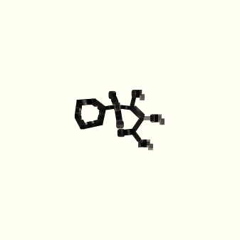 CC(C(N)=O)=C(C(F)(F)F)S(=O)(=O)c1ccccc1